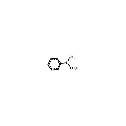 CN(C(=O)O)c1[c]cccc1